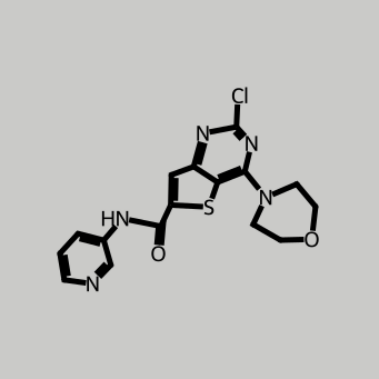 O=C(Nc1cccnc1)c1cc2nc(Cl)nc(N3CCOCC3)c2s1